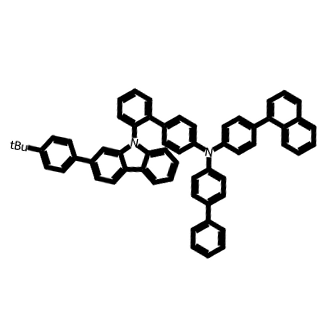 CC(C)(C)c1ccc(-c2ccc3c4ccccc4n(-c4ccccc4-c4ccc(N(c5ccc(-c6ccccc6)cc5)c5ccc(-c6cccc7ccccc67)cc5)cc4)c3c2)cc1